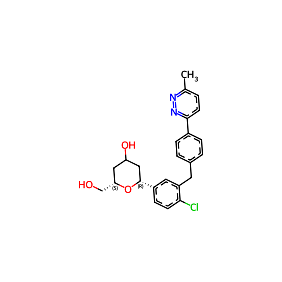 Cc1ccc(-c2ccc(Cc3cc([C@H]4CC(O)C[C@@H](CO)O4)ccc3Cl)cc2)nn1